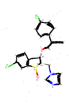 C=C(CO[C@H]1c2ccc(Cl)cc2[S+]([O-])[C@H]1Cn1ccnc1)c1ccc(Cl)cc1